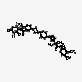 CC(C)(C(=O)Nc1ccc(C#N)c(C(F)(F)F)c1)n1cc(N2CCC(C3CN(c4ccc5c(c4)C(=O)N(C4CCC(=O)NC4=O)C5O)C3)CC2)cn1